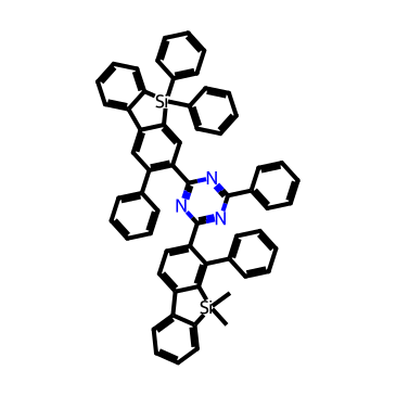 C[Si]1(C)c2ccccc2-c2ccc(-c3nc(-c4ccccc4)nc(-c4cc5c(cc4-c4ccccc4)-c4ccccc4[Si]5(c4ccccc4)c4ccccc4)n3)c(-c3ccccc3)c21